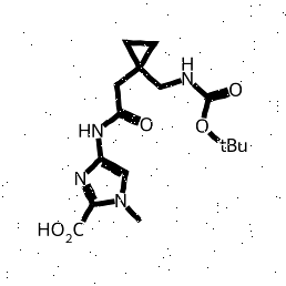 Cn1cc(NC(=O)CC2(CNC(=O)OC(C)(C)C)CC2)nc1C(=O)O